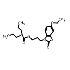 CCCN(CCC)C(=O)SCCCn1c(=O)sc2cc(OCC)ccc21